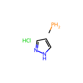 CP.Cl.c1cn[nH]c1